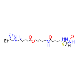 CCC(N)CN(N)CCCCCC(=O)OCCCCCNC(=O)CCCC[C@H]1SC[C@@H]2NC(=O)N[C@@H]21